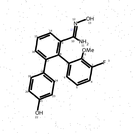 COc1c(F)cccc1-c1c(/C(N)=N/O)cccc1-c1ccc(O)cc1